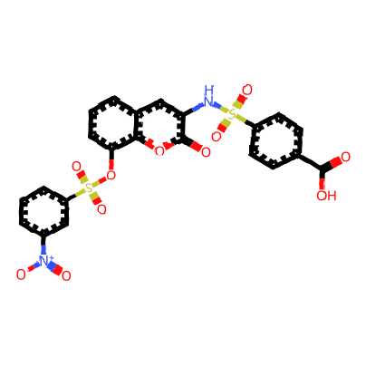 O=C(O)c1ccc(S(=O)(=O)Nc2cc3cccc(OS(=O)(=O)c4cccc([N+](=O)[O-])c4)c3oc2=O)cc1